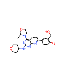 COc1ccc(-c2ccc3c(N4CCOCC4C)nc(NC4CCOCC4)nc3n2)cc1CO